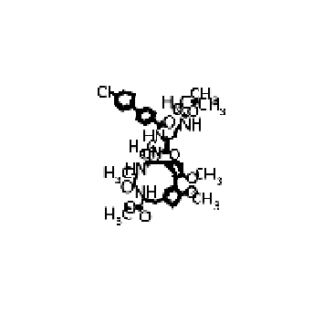 COC(=O)[C@@H]1Cc2ccc(OC)c(c2)-c2cc(ccc2OC)[C@H](N(C)C(=O)[C@H](CCNC(=O)OC(C)(C)C)NC(=O)c2ccc(-c3ccc(Cl)cc3)cc2)C(=O)N[C@@H](C)C(=O)N1